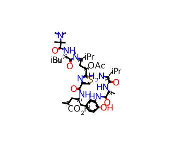 CC[C@H](C)[C@H](NC(=O)C(C)(C)N(C)C)C(=O)N(C)[C@H](C[C@@H](OC(C)=O)c1nc(C(=O)N[C@@H](Cc2ccc(O)c(NC(=O)[C@H](C)NC(=O)[C@@H](N)C(C)C)c2)C[C@H](C)C(=O)O)cs1)C(C)C